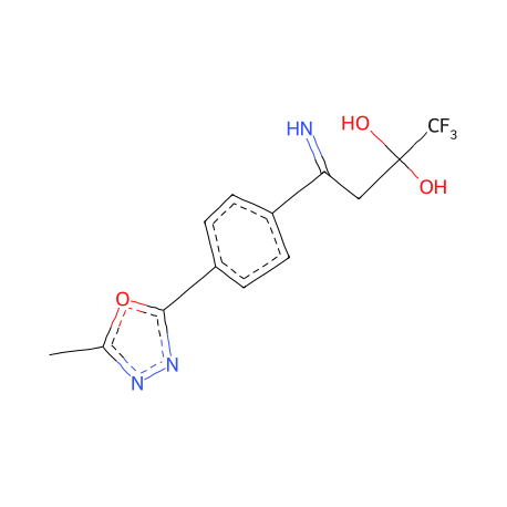 Cc1nnc(-c2ccc(C(=N)CC(O)(O)C(F)(F)F)cc2)o1